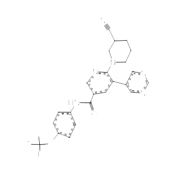 N#CC1CCCN(c2ncc(C(=O)Nc3ccc(OC(F)(F)F)cc3)cc2-c2cncnc2)C1